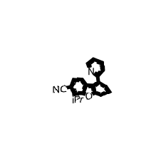 CC(C)c1c(C#N)ccc2c1oc1cccc(-c3ccccn3)c12